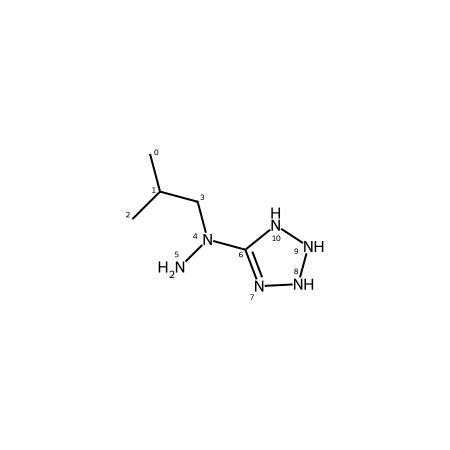 CC(C)CN(N)C1=NNNN1